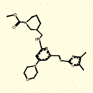 COC(=O)N1CCCC(CNc2cc(N3CCOCC3)cc(CSc3nc(C)c(C)o3)n2)C1